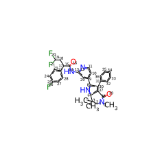 CN1CC(C)(C)c2[nH]c(-c3ccnc(NC(=O)C(CC(F)F)c4ccc(F)cc4)c3)c(-c3ccccc3)c2C1=O